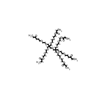 C=CC(=O)CCCOCCOCC(COCCOCCOC(=O)C=C)(COCCOCCOC(=O)C=C)COCC(COCCOCCCC(=O)C=C)(COCCOCCOC(=O)C=C)COCCOCCOC(=O)C=C